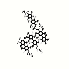 CCC(C)c1c(F)c(F)c(-c2c(F)c(F)c(F)c(F)c2F)c(F)c1F.CCCc1c(F)c(F)c(-c2c(F)c(F)c(F)c(F)c2F)c(F)c1F.CCc1c(F)c(F)c(-c2c(F)c(F)c(F)c(F)c2F)c(F)c1F.Cc1c(F)c(F)c(-c2c(F)c(F)c(F)c(F)c2F)c(F)c1F